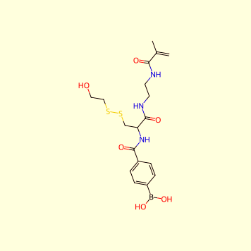 C=C(C)C(=O)NCCNC(=O)C(CSSCCO)NC(=O)c1ccc(B(O)O)cc1